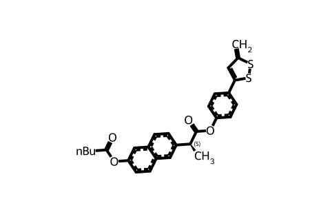 C=C1C=C(c2ccc(OC(=O)[C@@H](C)c3ccc4cc(OC(=O)CCCC)ccc4c3)cc2)SS1